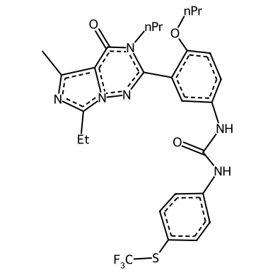 CCCOc1ccc(NC(=O)Nc2ccc(SC(F)(F)F)cc2)cc1-c1nn2c(CC)nc(C)c2c(=O)n1CCC